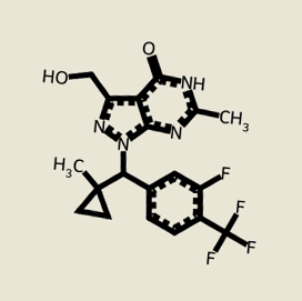 Cc1nc2c(c(CO)nn2C(c2ccc(C(F)(F)F)c(F)c2)C2(C)CC2)c(=O)[nH]1